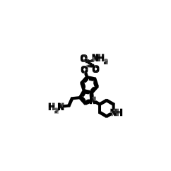 NCCc1cn(C2CCNCC2)c2ccc(OS(N)(=O)=O)cc12